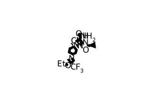 CCOC1(C(F)(F)F)CN([C@H]2CC[C@](CC#N)(n3cc(C(N)=O)c(NC(=O)C4CC4)n3)CC2)C1